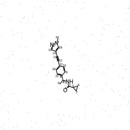 C[C@H](NC(=O)C1CC1)c1ccc(C#Cc2cnn(C)c2)cc1